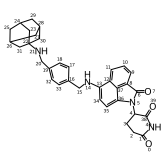 O=C1CCC(N2C(=O)c3cccc4c(NCc5ccc(CNC67CC8CC(CC(C8)C6)C7)cc5)ccc2c34)C(=O)N1